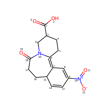 O=C(O)C1CCC2=C3C=C([N+](=O)[O-])C=CC3CCC(=O)N2C1